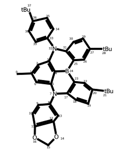 Cc1cc2c3c(c1)N(c1ccc4c(c1)OCO4)c1ccc(C(C)(C)C)cc1B3c1cc(C(C)(C)C)ccc1N2c1ccc(C(C)(C)C)cc1